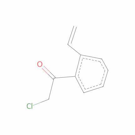 C=Cc1ccccc1C(=O)CCl